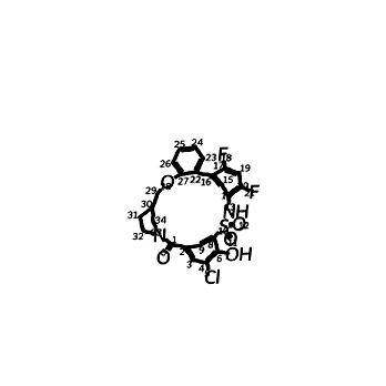 O=C1c2cc(Cl)c(O)c(c2)S(=O)(=O)Nc2cc(c(F)cc2F)-c2ccccc2OCC2CCN1C2